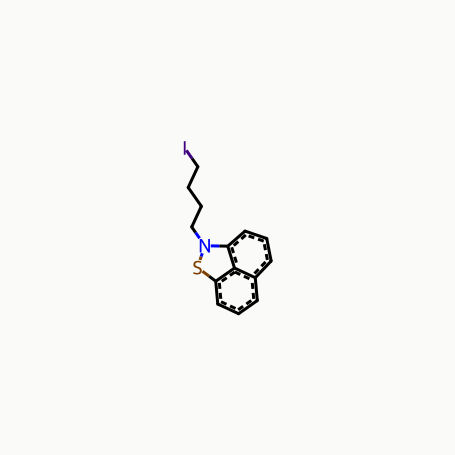 ICCCCN1Sc2cccc3cccc1c23